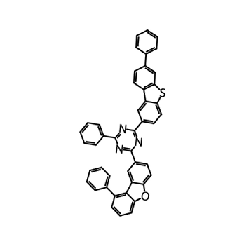 c1ccc(-c2ccc3c(c2)sc2ccc(-c4nc(-c5ccccc5)nc(-c5ccc6oc7cccc(-c8ccccc8)c7c6c5)n4)cc23)cc1